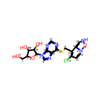 OCC1OC(n2cnc3c(SCC4=C(Cl)C=CN5ONC=C45)ncnc32)C(O)C1O